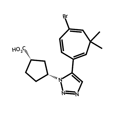 CC1(C)C=C(Br)C=CC(c2cnnn2[C@@H]2CC[C@H](C(=O)O)C2)=C1